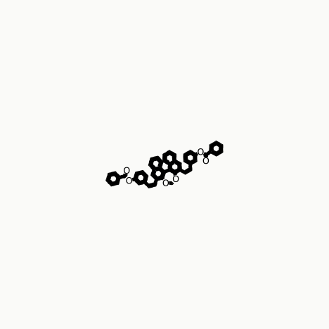 O=C(Oc1cccc(/C=C\c2cc3ccccc3c3c2OCOc2c(/C=C\c4cccc(OC(=O)c5ccccc5)c4)cc4ccccc4c2-3)c1)c1ccccc1